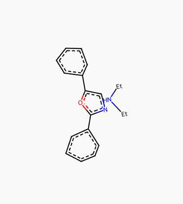 CCNCC.c1ccc(-c2cnc(-c3ccccc3)o2)cc1